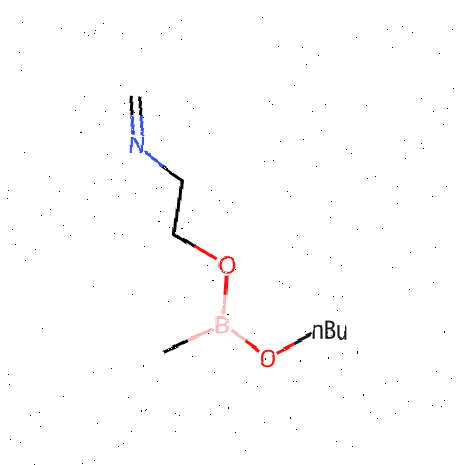 C=NCCOB(C)OCCCC